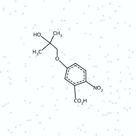 CC(C)(O)COc1ccc([N+](=O)[O-])c(C(=O)O)c1